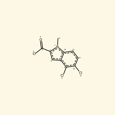 Cn1c(C(=O)Cl)cc2c(Cl)c(Cl)ccc21